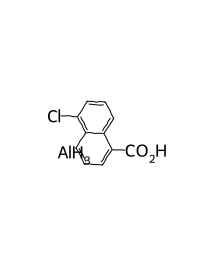 O=C(O)c1cccc2c(Cl)cccc12.[AlH3]